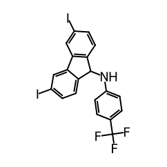 FC(F)(F)c1ccc(NC2c3ccc(I)cc3-c3cc(I)ccc32)cc1